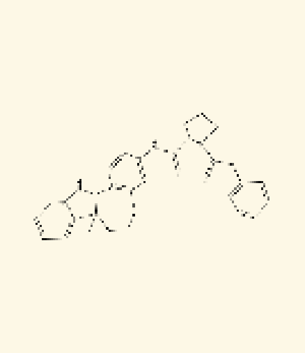 CC12CCCc3cc(NC(=O)[C@@H]4CCCN4C(=O)Cc4ccccc4)ccc3C1Nc1ccccc12